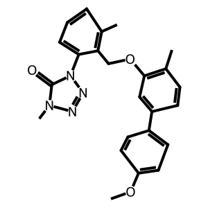 COc1ccc(-c2ccc(C)c(OCc3c(C)cccc3-n3nnn(C)c3=O)c2)cc1